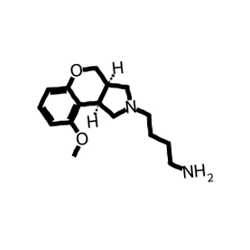 COc1cccc2c1[C@@H]1CN(CCCCN)C[C@@H]1CO2